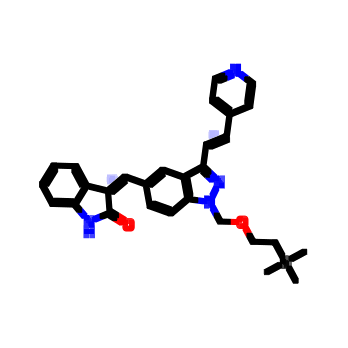 C[Si](C)(C)CCOCn1nc(/C=C/c2ccncc2)c2cc(/C=C3\C(=O)Nc4ccccc43)ccc21